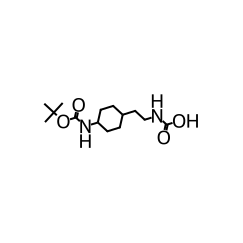 CC(C)(C)OC(=O)NC1CCC(CCNC(=O)O)CC1